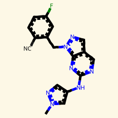 Cn1cc(Nc2ncc3cnn(Cc4cc(F)ccc4C#N)c3n2)cn1